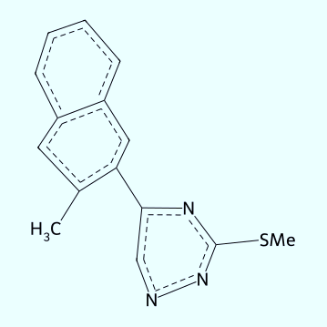 CSc1nncc(-c2cc3ccccc3cc2C)n1